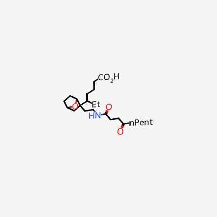 CCCCCC(=O)CCC(=O)NCCC1(C(CC)CCCC(=O)O)CC2CCC1O2